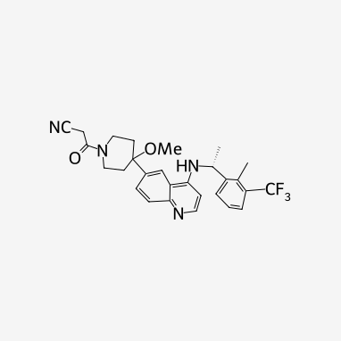 COC1(c2ccc3nccc(N[C@H](C)c4cccc(C(F)(F)F)c4C)c3c2)CCN(C(=O)CC#N)CC1